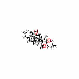 CC1CC[C@@]2(OC1)O[C@H]1C[C@H]3[C@@H]4CCC5CCCC[C@]5(C)[C@H]4C(=O)C[C@]3(C)[C@H]1[C@@H]2C